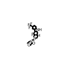 C[C@H]1c2c([nH]c3ccc(C(F)(F)F)cc23)C[C@H]2CCN(CCN3CCOCC3=O)C[C@@H]21